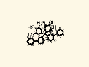 C#Cc1c(-c2ccccc2)ccc2c1C(c1ccc(O)c(N)c1)(c1ccc(O)c(N)c1)c1cc(-c3ccccc3)ccc1-2